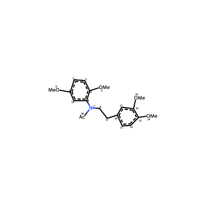 COc1ccc(OC)c(N(CCc2ccc(OC)c(OC)c2)C(C)=O)c1